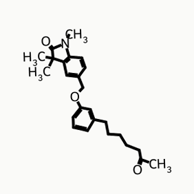 CC(=O)CCCCCc1cccc(OCc2ccc3c(c2)C(C)(C)C(=O)N3C)c1